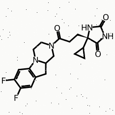 O=C1NC(=O)[C@](CCC(=O)N2CCN3c4cc(F)c(F)cc4CC3C2)(C2CC2)N1